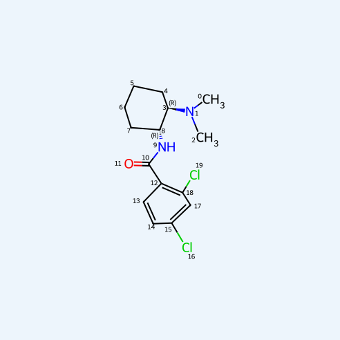 CN(C)[C@@H]1CCCC[C@H]1NC(=O)c1ccc(Cl)cc1Cl